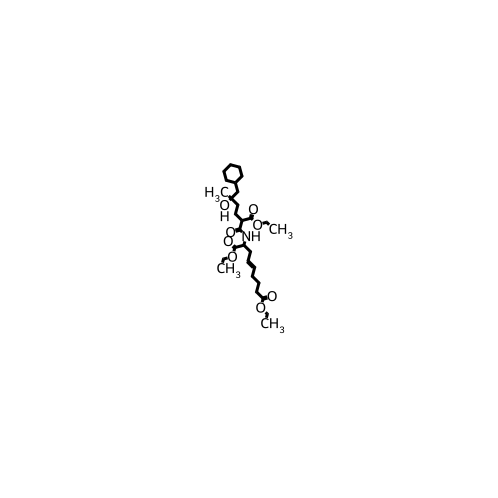 CCOC(=O)CCCC=CCC(NC(=O)C(CCC(C)(O)CC1CCCCC1)C(=O)OCC)C(=O)OCC